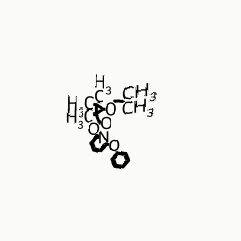 CC(C)COC1C(C)(C)C1(C)C(=O)Oc1cccc(Oc2ccccc2)n1